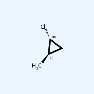 C[C@@H]1C[C@H]1Cl